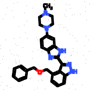 CN1CCN(c2ccc3nc(-c4n[nH]c5cccc(COCc6ccccc6)c45)[nH]c3c2)CC1